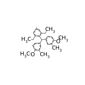 CCc1c[c]cc(CC)c1C(c1ccc(OC)c(C)c1)c1ccc(OC)c(C)c1